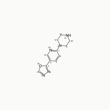 c1nnc(-c2ccc(N3CCNCC3)nc2)o1